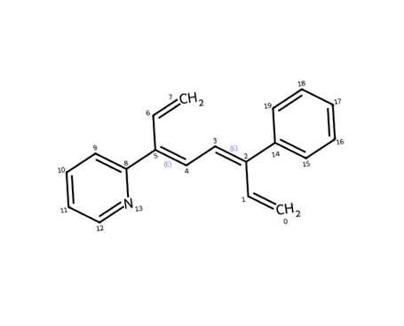 C=C/C(=C\C=C(/C=C)c1ccccn1)c1ccccc1